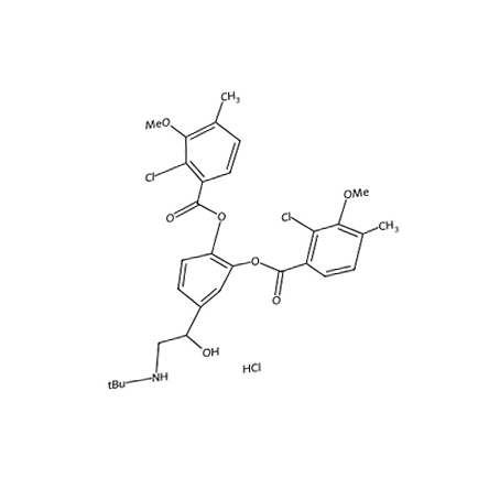 COc1c(C)ccc(C(=O)Oc2ccc(C(O)CNC(C)(C)C)cc2OC(=O)c2ccc(C)c(OC)c2Cl)c1Cl.Cl